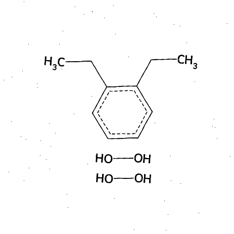 CCc1ccccc1CC.OO.OO